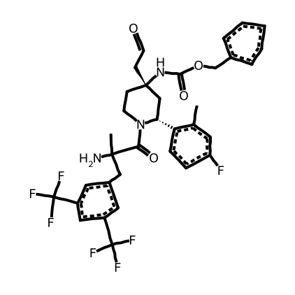 Cc1cc(F)ccc1[C@H]1C[C@@](CC=O)(NC(=O)OCc2ccccc2)CCN1C(=O)C(C)(N)Cc1cc(C(F)(F)F)cc(C(F)(F)F)c1